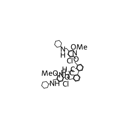 COc1nc(OCc2cccc(-c3cccc(COc4nc(OC)c(CNC5CCCCC5)cc4Cl)c3C)c2C)c(Cl)cc1CNC1CCCCC1